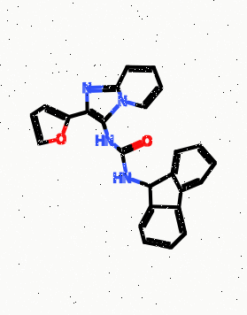 O=C(Nc1c(-c2ccco2)nc2ccccn12)NC1c2ccccc2-c2ccccc21